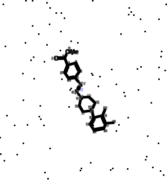 COC(=O)c1ccc(/N=N/N2CCN(c3cccc(C)c3C)CC2)cc1